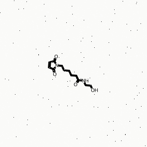 O=C(CCCCCN1C(=O)C=CC1=O)NCCO